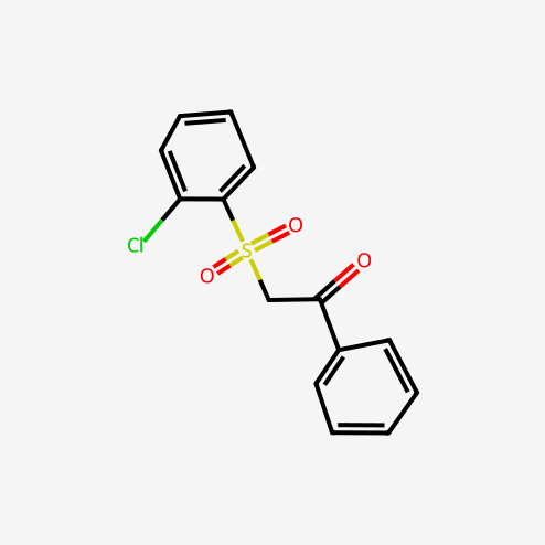 O=C(CS(=O)(=O)c1ccccc1Cl)c1ccccc1